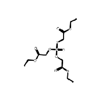 CCOC(=O)COP(=O)(OCC(=O)OCC)SCC(=O)OCC